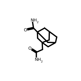 NC(=O)CC12CC3[CH]C(C(N)=O)(CC(C3)C1)C2